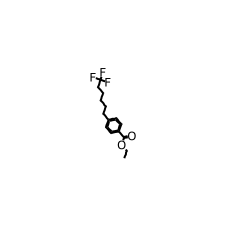 CCOC(=O)c1ccc(CCCCCC(F)(F)F)cc1